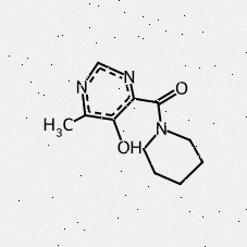 Cc1ncnc(C(=O)N2CCCCC2)c1O